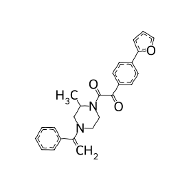 C=C(c1ccccc1)N1CCN(C(=O)C(=O)c2ccc(-c3ccco3)cc2)C(C)C1